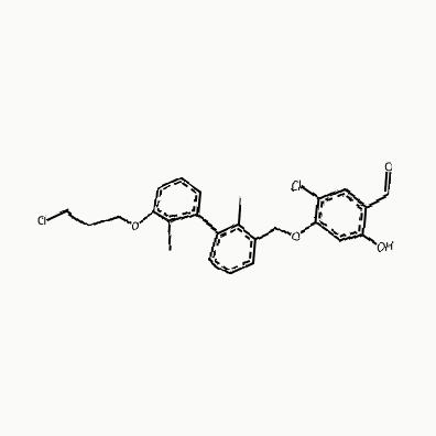 Cc1c(COc2cc(O)c(C=O)cc2Cl)cccc1-c1cccc(OCCCCl)c1C